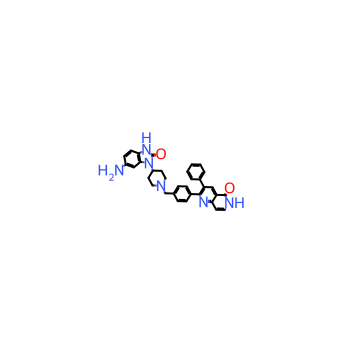 Nc1ccc2[nH]c(=O)n(C3CCN(Cc4ccc(-c5nc6cc[nH]c(=O)c6cc5-c5ccccc5)cc4)CC3)c2c1